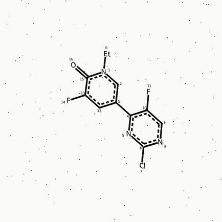 CCn1cc(-c2nc(Cl)ncc2F)cc(F)c1=O